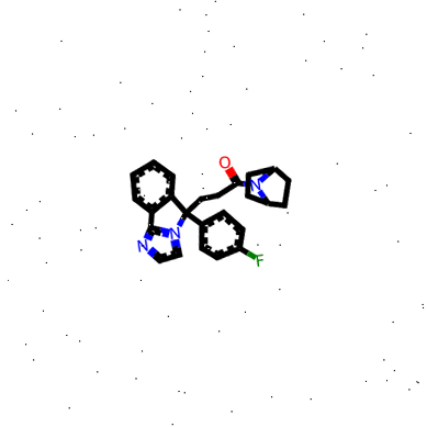 O=C(CCC1(c2ccc(F)cc2)c2ccccc2-c2nccn21)N1C2CCC1CC2